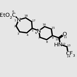 CCOC(=O)N1CCCC(N2CCC(C(=O)NCC(F)(F)F)CC2)CC1